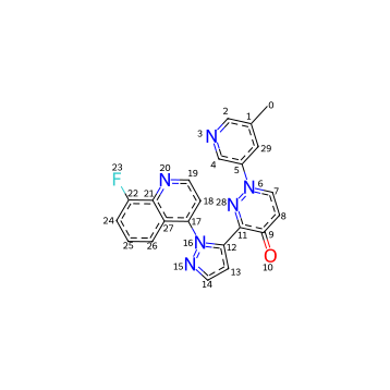 Cc1cncc(-n2ccc(=O)c(-c3ccnn3-c3ccnc4c(F)cccc34)n2)c1